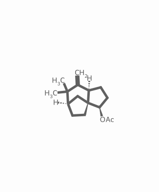 C=C1[C@H]2CC[C@@H](OC(C)=O)[C@@]23CC[C@H](C3)C1(C)C